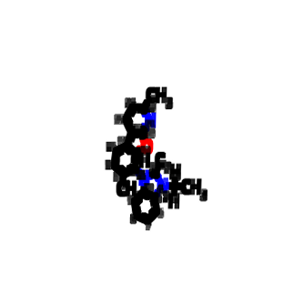 [2H]C([2H])(C)N1c2ccccc2N(c2c(C)ccc3c2oc2nc(C)ccc23)[C@H]1C